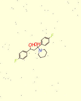 OC(CC(O)(c1ccc(F)cc1)N1CCCCC1)c1ccc(F)cc1